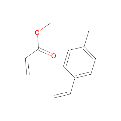 C=CC(=O)OC.C=Cc1ccc(C)cc1